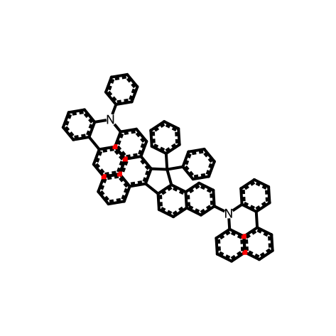 c1ccc(-c2ccccc2N(c2ccccc2)c2ccc3c4c(ccc3c2)-c2c(c3ccc(N(c5ccccc5)c5ccccc5-c5ccccc5)cc3c3ccccc23)C4(c2ccccc2)c2ccccc2)cc1